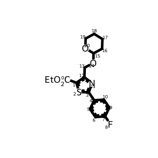 CCOC(=O)c1sc(-c2ccc(F)cc2)nc1COC1CCCCO1